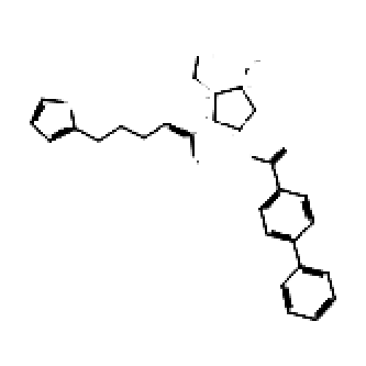 O=C(O)C[C@@H]1[C@@H](C(O)=CCCCc2ccco2)[C@@H](OC(=O)c2ccc(-c3ccccc3)cc2)C[C@@H]1O